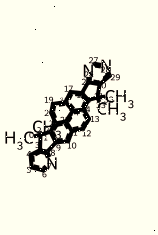 CC1(C)c2cccnc2-c2cc3ccc4c5c(cc6ccc(c21)c3c64)-c1ncncc1C5(C)C